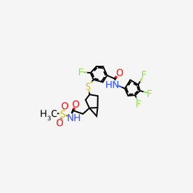 CS(=O)(=O)NC(=O)CC12CC(Sc3cc(C(=O)Nc4cc(F)c(F)c(F)c4)ccc3F)CC1C2